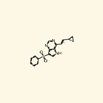 O=S(=O)(c1ccccc1)c1c[nH]c2c(/C=C/C3CC3)ncnc12